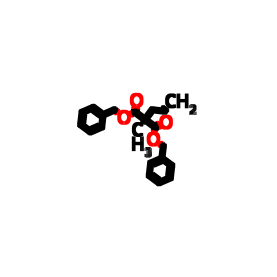 C=CCC(C)(C(=O)OCc1ccccc1)C(=O)OCc1ccccc1